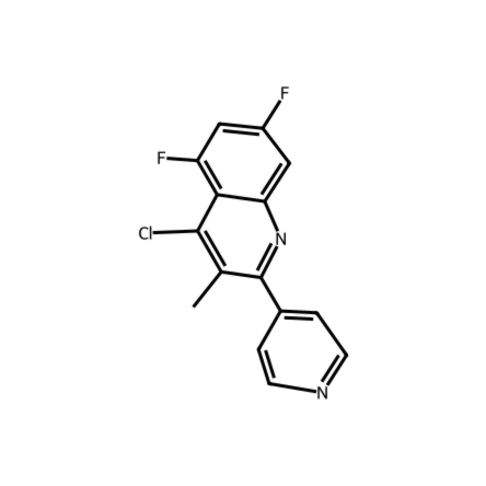 Cc1c(-c2ccncc2)nc2cc(F)cc(F)c2c1Cl